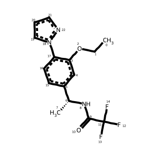 CCOc1cc([C@@H](C)NC(=O)C(F)(F)F)ccc1-n1cccn1